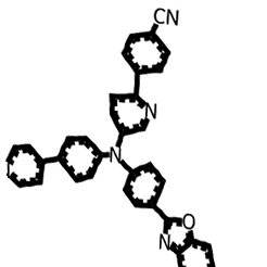 N#Cc1ccc(-c2ccc(N(c3ccc(-c4ccncc4)cc3)c3ccc(-c4nc5ccccc5o4)cc3)cn2)cc1